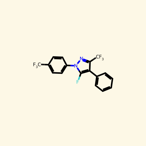 Fc1c(-c2ccccc2)c(C(F)(F)F)nn1-c1ccc(C(F)(F)F)cc1